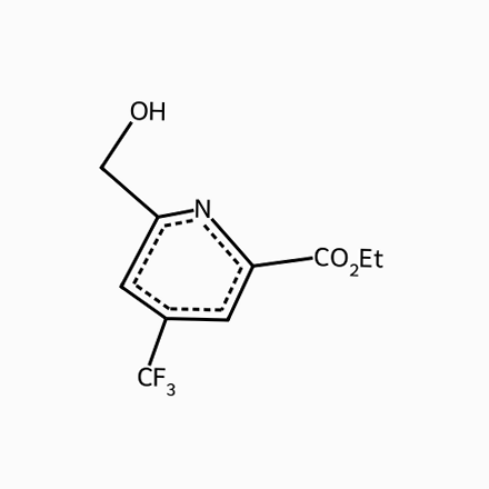 CCOC(=O)c1cc(C(F)(F)F)cc(CO)n1